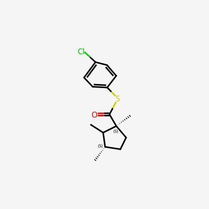 CC1[C@@H](C)CC[C@]1(C)C(=O)Sc1ccc(Cl)cc1